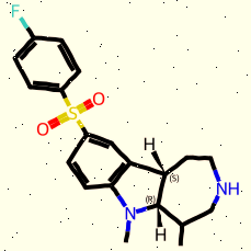 CC1CNCC[C@H]2c3cc(S(=O)(=O)c4ccc(F)cc4)ccc3N(C)[C@@H]12